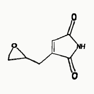 O=C1C=C(CC2CO2)C(=O)N1